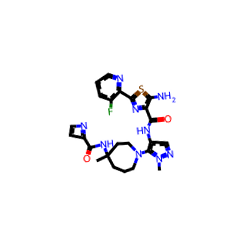 Cn1ncc(NC(=O)c2nc(-c3ncccc3F)sc2N)c1N1CCCC(C)(NC(=O)C2=NC=C2)CC1